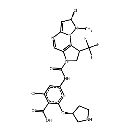 CN1[C@H](Cl)C=C2N=CC3=C(C(C(F)(F)F)CN3C(=O)Nc3cc(Cl)c(C(=O)O)c(O[C@H]4CCNC4)n3)N21